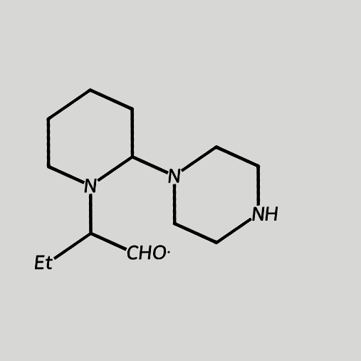 CCC([C]=O)N1CCCCC1N1CCNCC1